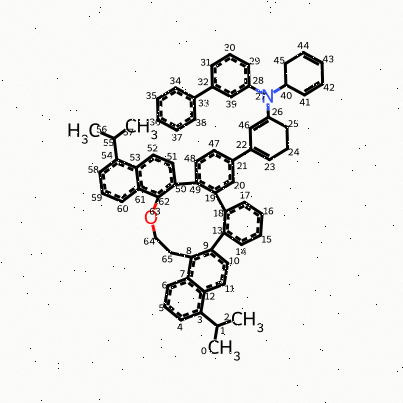 CC(C)c1cccc2c3c(ccc12)-c1ccccc1-c1cc(C2=CCCC(N(c4cccc(-c5ccccc5)c4)C4C=CC=CC4)=C2)ccc1-c1ccc2c(C(C)C)cccc2c1OCC3